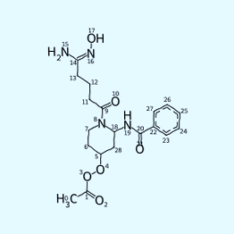 CC(=O)OOC1CCN(C(=O)CCCC(N)=NO)C(NC(=O)c2ccccc2)C1